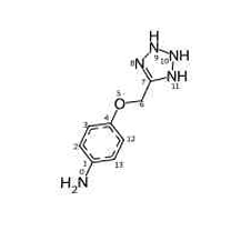 Nc1ccc(OCC2=NNNN2)cc1